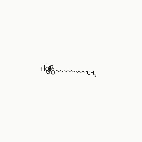 CCCCCCCCCCCCCCCCCCc1cccc(S(=O)(=O)O)c1CC